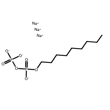 CCCCCCCCCOP(=O)([O-])OP(=O)([O-])[O-].[Na+].[Na+].[Na+]